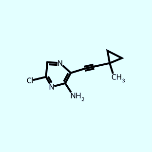 CC1(C#Cc2ncc(Cl)nc2N)CC1